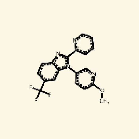 COc1ccc(-n2c(-c3ccccn3)nc3ccc(C(F)(F)F)cc32)cn1